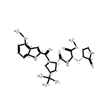 COC(=O)[C@H](C[C@@H]1CCNC1=O)NC(=O)[C@@H]1C[C@@H](C(C)(C)C)CN1C(=O)c1cc2c(OC)cccc2[nH]1